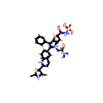 Cc1nc(C)c(-c2ccc3cc(-c4c(-c5ccccc5)c5sc(C(=O)NS(C)(=O)=O)cc5n4CC(=O)N(C)C)ccc3n2)s1